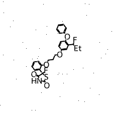 CCC(F)c1cc(OCCCOc2ccccc2C2(F)SC(=O)NC2=O)ccc1Oc1ccccc1